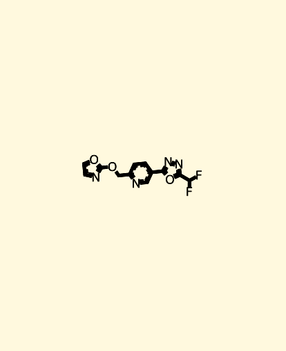 FC(F)c1nnc(-c2ccc(COc3ncco3)nc2)o1